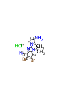 CC(C)n1c(N2CC[C@@H](N)C2)nc2c(C#N)c(Br)c(Br)cc21.Cl